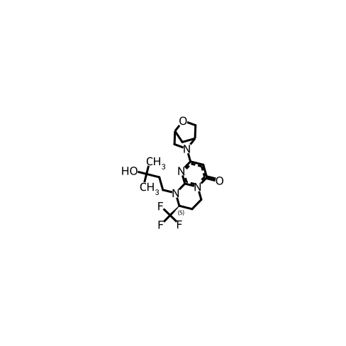 CC(C)(O)CCN1c2nc(N3CC4CC3CO4)cc(=O)n2CC[C@H]1C(F)(F)F